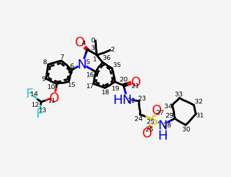 CC1(C)C(=O)N(c2cccc(OC(F)F)c2)c2ccc(C(=O)NCCS(=O)(=O)NC3CCCCC3)cc21